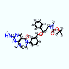 CNc1ncc2c(n1)N(C)CCN(c1cccc(CO[C@H](CCN(C)C(=O)OC(C)(C)C)c3ccccc3)c1)C2=O